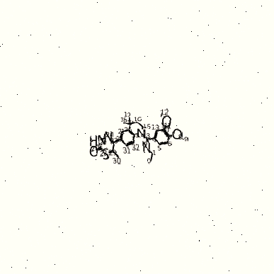 CCN=C(c1ccc(OC)c(OC)c1)N1CCC(C)(C)c2cc(C3=NNC(=O)SC3C)ccc21